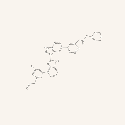 O=CCc1cc(F)cc(-c2cccc3[nH]c(-c4n[nH]c5ncc(-c6cncc(CNCc7ccccc7)c6)cc45)nc23)c1